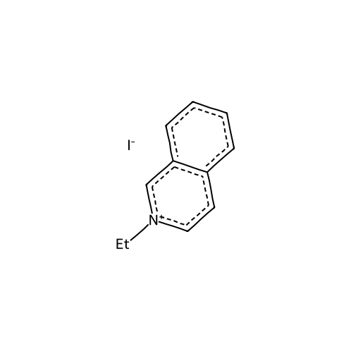 CC[n+]1ccc2ccccc2c1.[I-]